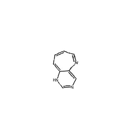 C1=CC=C2NC=NC=C2N=C1